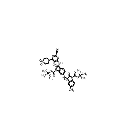 Cc1ccc2c(c1)[C@]1(C[C@H]1c1ccc3c(Nc4nc(C#N)nc(N5CCS(=O)(=O)CC5)c4C)nn(C(=O)OC(C)(C)C)c3c1)C(=O)N2C(=O)OC(C)(C)C